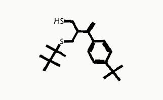 C=C(c1ccc(C(C)(C)C)cc1)C(CS)CSC(C)(C)C(C)(C)C